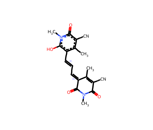 CC1=C(C#N)C(=O)N(C)C(=O)/C1=C/C=C/c1c(C)c(C#N)c(=O)n(C)c1O